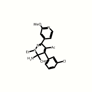 CCN1N=C(c2ccnc(OC)c2)C(C(C)=O)=C(c2cccc(Cl)c2)C1(N)C=O